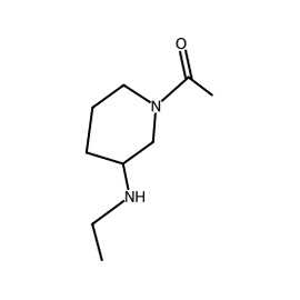 CCNC1CCCN(C(C)=O)C1